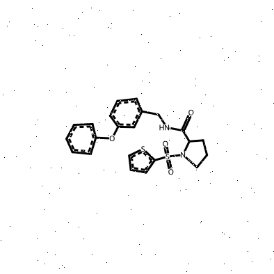 O=C(NCc1cccc(Oc2ccccc2)c1)C1CCCN1S(=O)(=O)c1cccs1